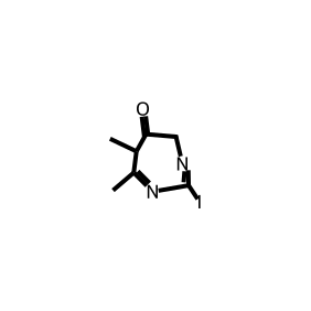 CC1=NC(I)=NCC(=O)C1C